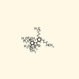 CCCCCc1cc(CCCCC)cc(C2C(=O)Oc3c2cc(C(C)(C)CC)cc3C(C)(C)CC)c1